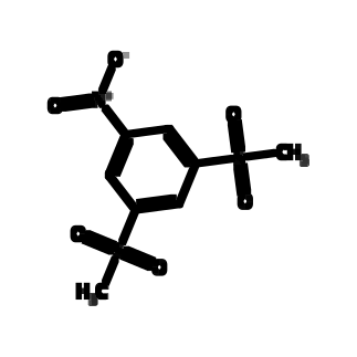 CS(=O)(=O)c1cc([N+](=O)[O-])cc(S(C)(=O)=O)c1